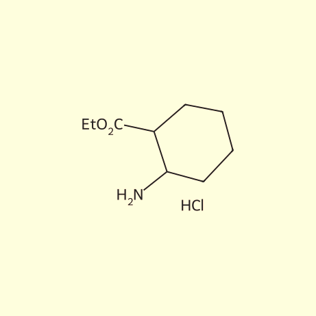 CCOC(=O)C1CCCCC1N.Cl